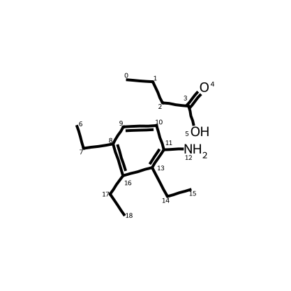 CCCC(=O)O.CCc1ccc(N)c(CC)c1CC